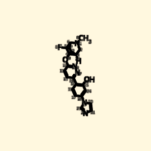 CN1C[C@@H]2CCC1C(F)C2Oc1ccc(-c2ccc(-n3ccnc3)cc2O)nn1